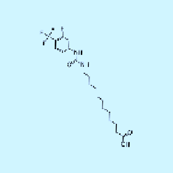 O=C(O)CCCCCCCCCCCNC(=O)Nc1ccc(C(F)(F)F)c(F)c1